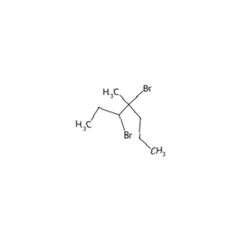 CCCC(C)(Br)C(Br)CC